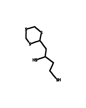 SCCC(S)CC1SCSCS1